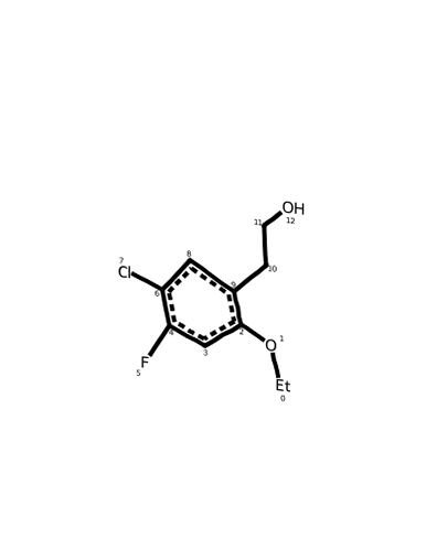 CCOc1cc(F)c(Cl)cc1CCO